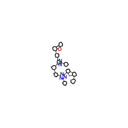 c1ccc(-c2nc(-c3ccc(-c4cccc5c4oc4ccccc45)cc3)cc(-c3cccc(-c4cccc(-c5nc(-c6ccccc6)nc(-c6cccc7c6Cc6c(-c8ccccc8)cccc6-7)n5)c4)c3)n2)cc1